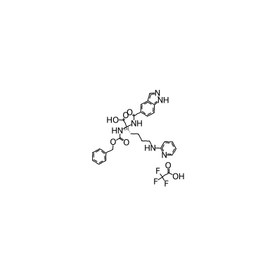 O=C(N[C@](CCCCNc1ccccn1)(NC(=O)c1ccc2[nH]ncc2c1)C(=O)O)OCc1ccccc1.O=C(O)C(F)(F)F